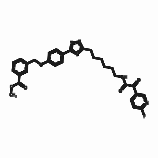 COC(=O)c1cccc(COc2ccc(-c3nnc(CCCCCCNC(=O)C(=O)c4ccc(F)nc4)s3)cc2)c1